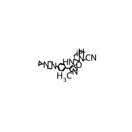 Cc1nsc(N[C@@H](CC(C)C)C(=O)NCC#N)c1-c1ccc(N2CCN(C3CC3)CC2)cc1